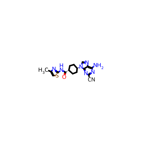 Cc1csc(NC(=O)[C@H]2CC[C@@H](n3cnc4c(N)nc(C#N)nc43)CC2)n1